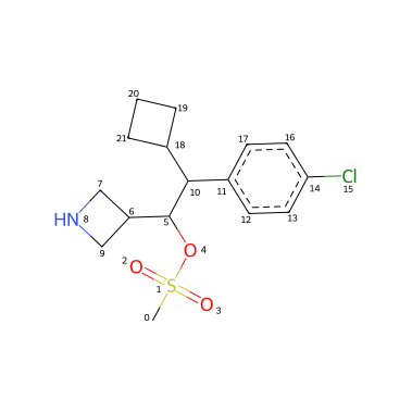 CS(=O)(=O)OC(C1CNC1)C(c1ccc(Cl)cc1)C1CCC1